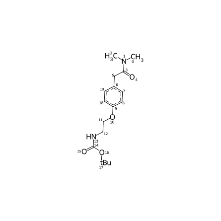 CN(C)C(=O)Cc1ccc(OCCNC(=O)OC(C)(C)C)cc1